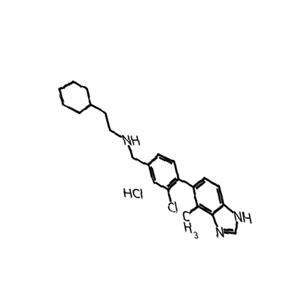 Cc1c(-c2ccc(CNCCC3CCCCC3)cc2Cl)ccc2[nH]cnc12.Cl